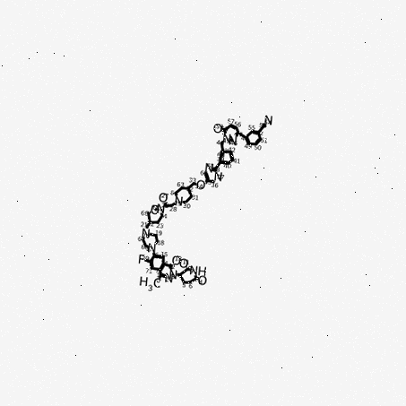 Cc1nn(C2CCC(=O)NC2=O)c(=O)c2cc(N3CCN(CC4CCN(C(=O)CN5CCC(COc6cnc(-c7cccc(Cn8nc(-c9cccc(C#N)c9)ccc8=O)c7)nc6)CC5)CC4)CC3)c(F)cc12